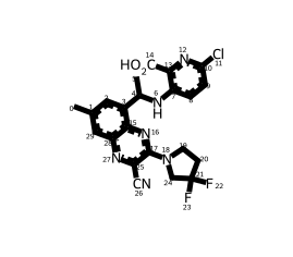 Cc1cc(C(C)Nc2ccc(Cl)nc2C(=O)O)c2nc(N3CCC(F)(F)C3)c(C#N)nc2c1